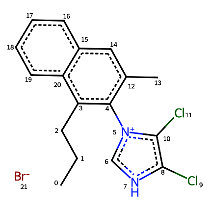 CCCc1c(-[n+]2c[nH]c(Cl)c2Cl)c(C)cc2ccccc12.[Br-]